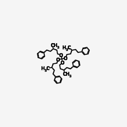 CC(CCOC(OCCC(C)CCc1ccccc1)(OCCC(C)CCc1ccccc1)OCCC(C)CCc1ccccc1)CCc1ccccc1